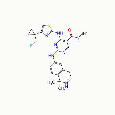 CC(C)NC(=O)c1cnc(Nc2ccc3c(c2)CCNC3(C)C)nc1Nc1nc(C2(CF)CC2)cs1